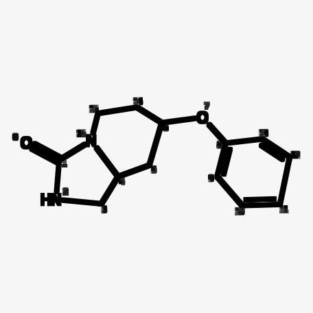 O=C1NCC2CC(Oc3ccccc3)CCN12